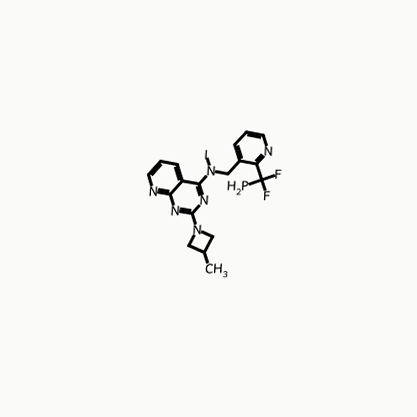 CC1CN(c2nc(N(I)Cc3cccnc3C(F)(F)P)c3cccnc3n2)C1